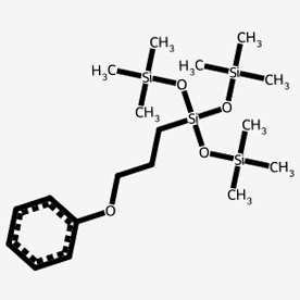 C[Si](C)(C)O[Si](CCCOc1ccccc1)(O[Si](C)(C)C)O[Si](C)(C)C